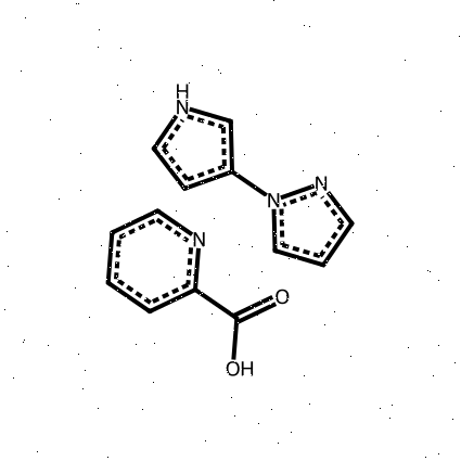 O=C(O)c1ccccn1.c1cnn(-c2cc[nH]c2)c1